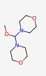 COC(N1CCOCC1)N1CCOCC1